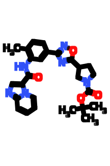 Cc1ccc(-c2noc(C3CCN(C(=O)OC(C)(C)C)C3)n2)cc1NC(=O)c1cnc2ccccn12